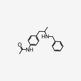 CC(=O)Nc1ccc(CC(C)NCc2ccccc2)cc1